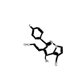 CC(C)c1c(C=CC=O)c(-c2ccc(F)cc2)nn2ccc(Cl)c12